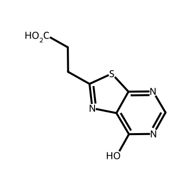 O=C(O)CCc1nc2c(O)ncnc2s1